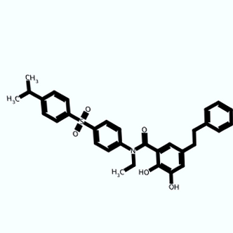 CCN(C(=O)c1cc(CCc2ccccc2)cc(O)c1O)c1ccc(S(=O)(=O)c2ccc(C(C)C)cc2)cc1